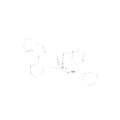 Ic1cccc2c1C(c1ccccc1)[C]([Zr+2][C]1=Cc3c4ccc(I)c3C1c1ccc(cc1)P4c1ccccc1)=C2.[Cl-].[Cl-]